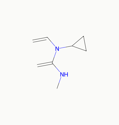 C=CN(C(=C)NC)C1CC1